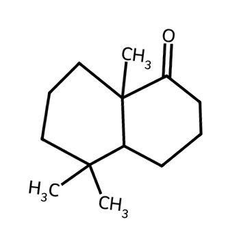 CC1(C)CCCC2(C)C(=O)CCCC12